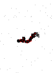 CCC(C)n1ncn(-c2ccc(N3CCC(=Cc4ccc(OC[C@@H]5CO[C@@](Cn6nccn6)(c6ccc(-c7ccccc7)cc6)O5)cc4)CC3)cc2)c1=O